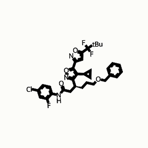 CC(C)(C)C(F)(F)c1cc(-c2onc([C@@H](CCCOCc3ccccc3)CC(=O)Nc3ccc(Cl)cc3F)c2C2CC2)no1